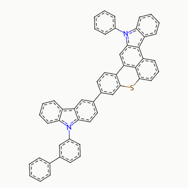 c1ccc(-c2cccc(-n3c4ccccc4c4cc(-c5ccc6c(c5)Sc5cccc7c5c-6cc5c7c6ccccc6n5-c5ccccc5)ccc43)c2)cc1